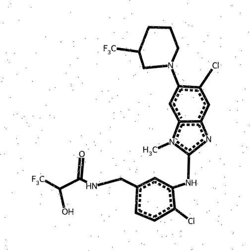 Cn1c(Nc2cc(CNC(=O)C(O)C(F)(F)F)ccc2Cl)nc2cc(Cl)c(N3CCCC(C(F)(F)F)C3)cc21